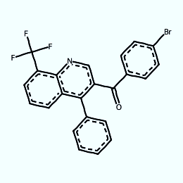 O=C(c1ccc(Br)cc1)c1cnc2c(C(F)(F)F)cccc2c1-c1ccccc1